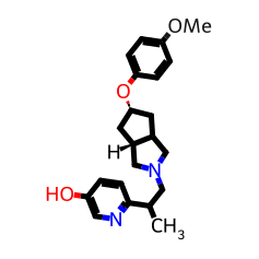 COc1ccc(O[C@@H]2CC3CN(CC(C)c4ccc(O)cn4)C[C@@H]3C2)cc1